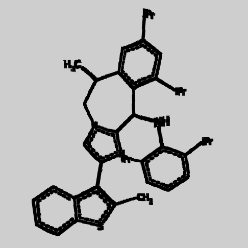 Cc1sc2ccccc2c1-c1cn2c(n1)C(Nc1c(C(C)C)cccc1C(C)C)c1c(C(C)C)cc(C(C)C)cc1C(C)C2